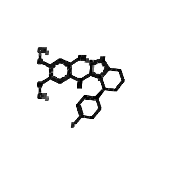 COc1cc(C)c(Nc2nnc3n2[C@H](C2=CC=C(F)CC2)CCC3)cc1OC